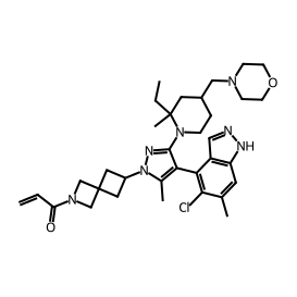 C=CC(=O)N1CC2(CC(n3nc(N4CCC(CN5CCOCC5)CC4(C)CC)c(-c4c(Cl)c(C)cc5[nH]ncc45)c3C)C2)C1